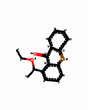 CCOC(C)c1cccc2sc3ccccc3c(=O)c12